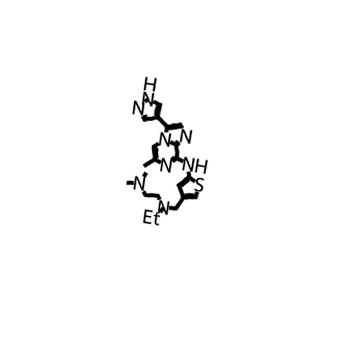 CCN(CCN(C)C)Cc1csc(Nc2nc(C)cn3c(-c4cn[nH]c4)cnc23)c1